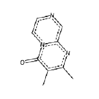 Cc1nc2cnccn2c(=O)c1C